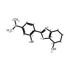 CN(C)c1ccc(-c2nc3c(s2)C(O)CCC3)c(Br)c1